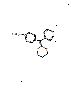 O=C(O)c1ccc(C(=C2SCCCS2)c2ccccc2)cc1